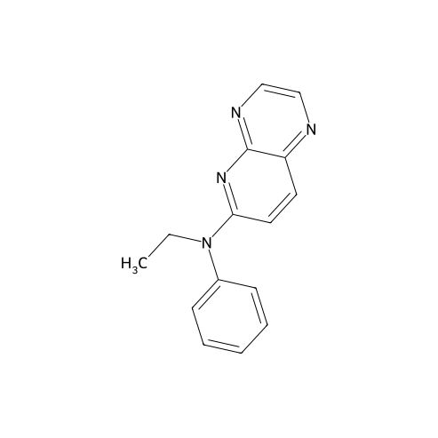 CCN(c1ccccc1)c1ccc2nccnc2n1